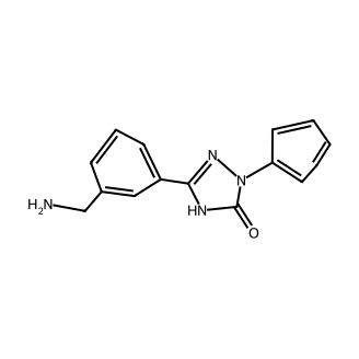 NCc1cccc(-c2nn(-c3ccccc3)c(=O)[nH]2)c1